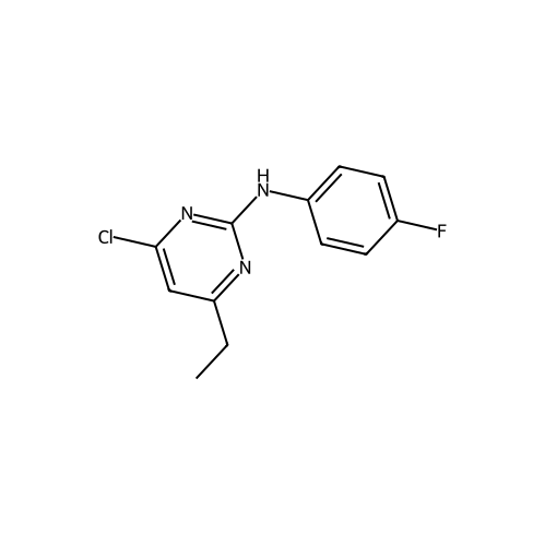 CCc1cc(Cl)nc(Nc2ccc(F)cc2)n1